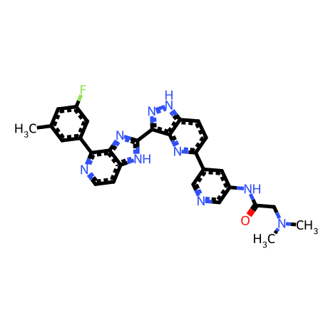 Cc1cc(F)cc(-c2nccc3[nH]c(-c4n[nH]c5ccc(-c6cncc(NC(=O)CN(C)C)c6)nc45)nc23)c1